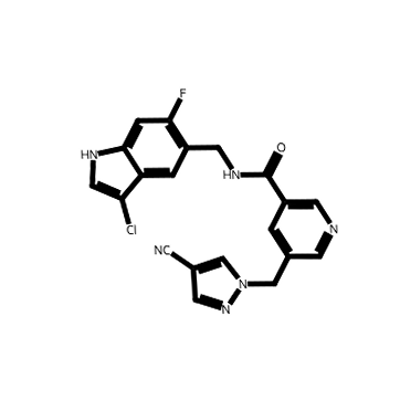 N#Cc1cnn(Cc2cncc(C(=O)NCc3cc4c(Cl)c[nH]c4cc3F)c2)c1